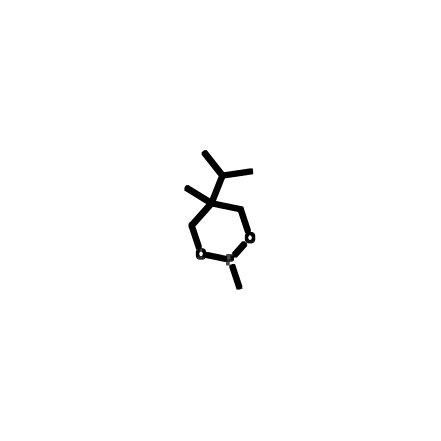 CC(C)C1(C)COP(C)OC1